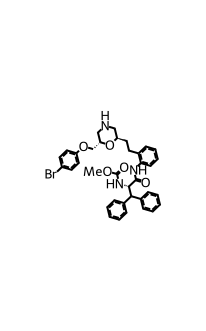 COC(=O)N[C@H](C(=O)Nc1ccccc1CC[C@@H]1CNC[C@@H](COc2ccc(Br)cc2)O1)C(c1ccccc1)c1ccccc1